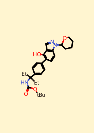 CCC(CC)(NC(=O)OC(C)(C)C)c1ccc(-c2ccc3c(cnn3C3CCCCO3)c2O)cc1